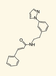 O=C(C=Cc1ccccc1)NCCc1cccc(-n2cccn2)c1